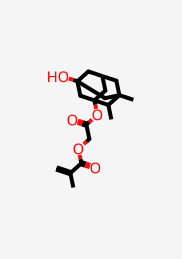 C=C(C)C(=O)OCC(=O)OC12CC3CC(O)(CC(C)(C3)C1C)C2